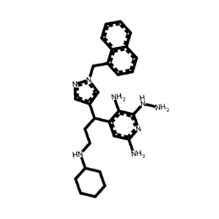 NNc1nc(N)cc(C(CCNC2CCCCC2)c2cnn(Cc3cccc4ccccc34)c2)c1N